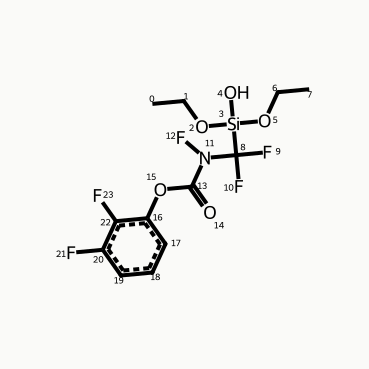 CCO[Si](O)(OCC)C(F)(F)N(F)C(=O)Oc1cccc(F)c1F